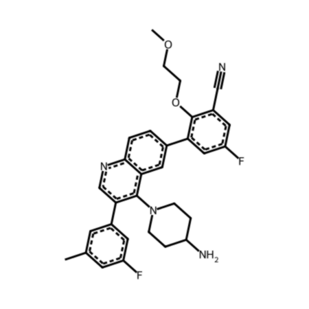 COCCOc1c(C#N)cc(F)cc1-c1ccc2ncc(-c3cc(C)cc(F)c3)c(N3CCC(N)CC3)c2c1